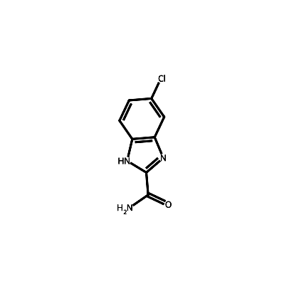 NC(=O)c1nc2cc(Cl)ccc2[nH]1